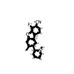 Cc1cc2oc3c(F)c(C#N)ccc3c2cc1-c1cccc[n+]1C